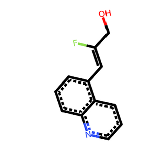 OCC(F)=Cc1cccc2ncccc12